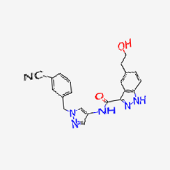 N#Cc1cccc(Cn2cc(NC(=O)c3n[nH]c4ccc(CCO)cc34)cn2)c1